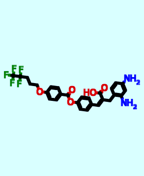 Nc1ccc(CC(=Cc2ccc(OC(=O)c3ccc(OCCCC(F)(F)C(F)(F)F)cc3)cc2)C(=O)O)c(N)c1